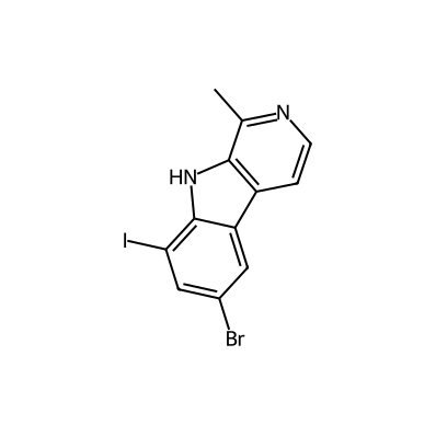 Cc1nccc2c1[nH]c1c(I)cc(Br)cc12